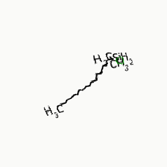 CCCCCCCCCCCCCCCCCCC(C)(C)[SiH2]Cl